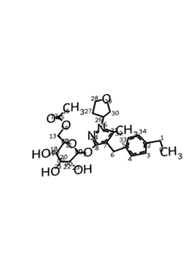 CCc1ccc(Cc2c(O[C@@H]3O[C@H](COC(C)=O)[C@@H](O)[C@H](O)[C@H]3O)nn(C3CCOC3)c2C)cc1